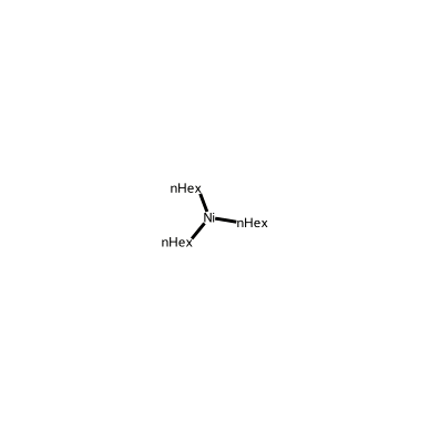 CCCCC[CH2][Ni]([CH2]CCCCC)[CH2]CCCCC